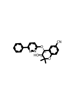 CC1(C)Oc2ccc(C#N)cc2[C@@H](Oc2ccc(-c3ccccc3)nn2)[C@@H]1O